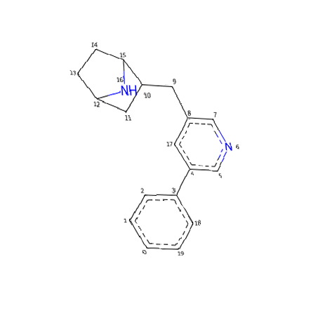 c1ccc(-c2cncc(CC3CC4CCC3N4)c2)cc1